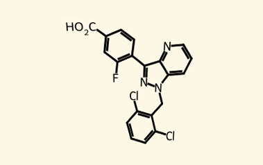 O=C(O)c1ccc(-c2nn(Cc3c(Cl)cccc3Cl)c3cccnc23)c(F)c1